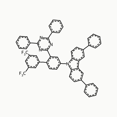 FC(F)(F)c1cc(-c2ccc(-n3c4ccc(-c5ccccc5)cc4c4cc(-c5ccccc5)ccc43)cc2-c2nc(-c3ccccc3)nc(-c3ccccc3)n2)cc(C(F)(F)F)c1